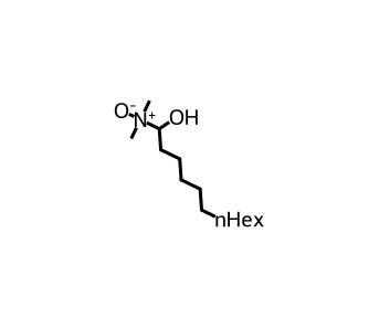 CCCCCCCCCCCC(O)[N+](C)(C)[O-]